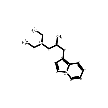 CCN(CC)CC(C)Cc1ccn2ccccc12